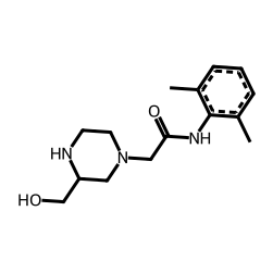 Cc1cccc(C)c1NC(=O)CN1CCNC(CO)C1